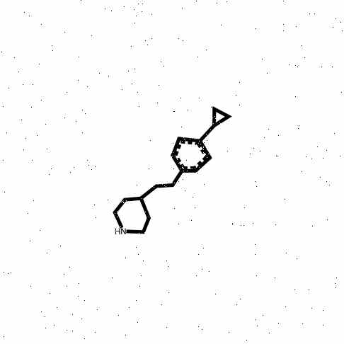 c1cc(C2CC2)ccc1CCC1CCNCC1